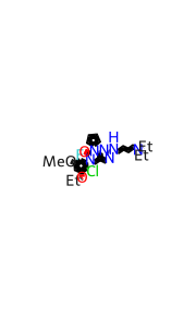 CCOc1cc(OC)c(F)c(N2Cc3cnc(NCCCCN(CC)CC)nc3N(C3CCCC3)C2=O)c1Cl